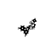 CC(O)(CN1CCCN(C2CCC2)C1=O)Cn1c2ccc(F)cc2c2cc(F)ccc21